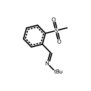 CC(C)(C)/N=C/c1ccccc1S(C)(=O)=O